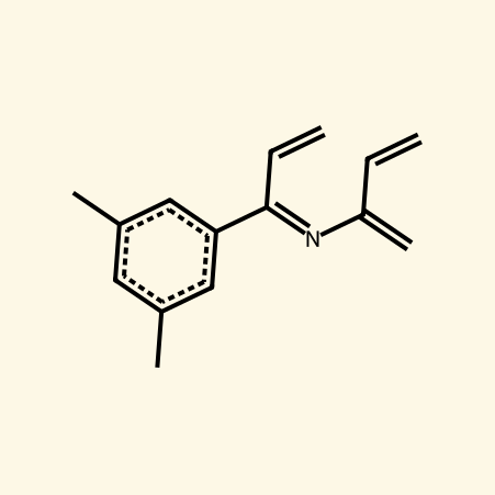 C=CC(=C)/N=C(\C=C)c1cc(C)cc(C)c1